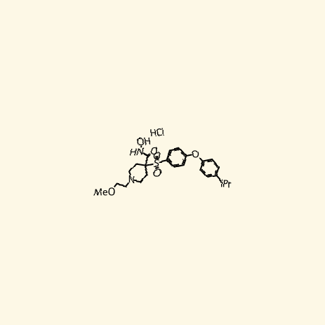 COCCN1CCC(C(=O)NO)(S(=O)(=O)c2ccc(Oc3ccc(C(C)C)cc3)cc2)CC1.Cl